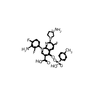 Cc1ccc(S(=O)(=O)O)cc1.Nc1c(F)ccc(-n2cc(C(=O)O)c(=O)c3cc(F)c(N4CC[C@H](N)C4)nc32)c1F